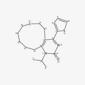 CC(C)n1c2c(c(-c3cccs3)nc1=O)CCCCCCCC2